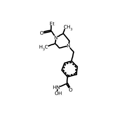 CCC(=O)N1C(C)CN(Cc2ccc(C(=O)NO)cc2)CC1C